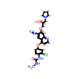 [C-]#[N+]c1cc2c(Oc3ccc(NC(=O)NC)c(Cl)c3)ccnc2cc1OC[C@H](O)CN1CCCC1